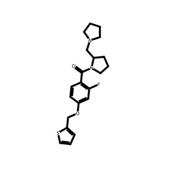 O=C(c1ccc(OCc2cccs2)cc1F)N1CCCC1CN1CCCC1